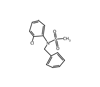 CS(=O)(=O)N(Cc1ccccc1)c1c[c]ccc1Cl